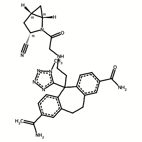 C=C(N)c1ccc2c(c1)CCc1cc(C(N)=O)ccc1C2(CCNCC(=O)N1[C@H](C#N)C[C@@H]2C[C@@H]21)c1nnnn1C